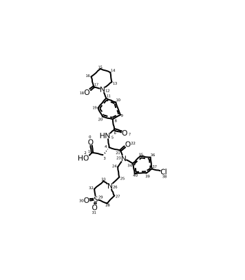 O=C(O)C[C@H](NC(=O)c1ccc(N2CCCCC2=O)cc1)C(=O)N(CCN1CCS(=O)(=O)CC1)c1ccc(Cl)cc1